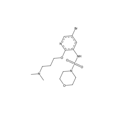 CN(C)CCCOc1ncc(Br)cc1NS(=O)(=O)N1CCOCC1